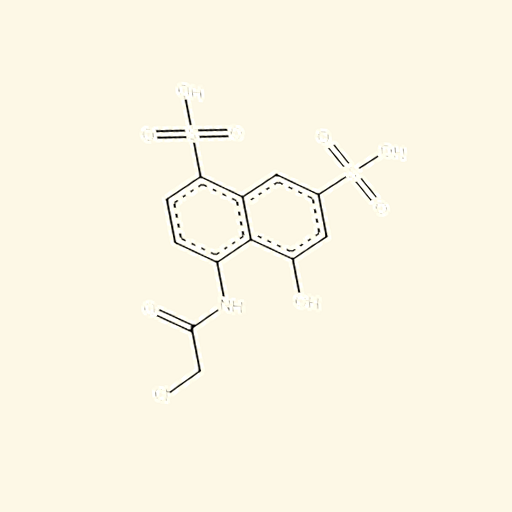 O=C(CCl)Nc1ccc(S(=O)(=O)O)c2cc(S(=O)(=O)O)cc(O)c12